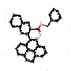 O=C(OCc1ccccc1)c1cc2ccccc2cc1-c1c(I)c2cccc3ccc4cccc1c4c32